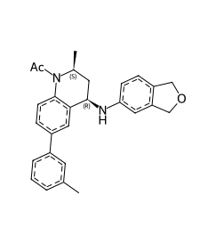 CC(=O)N1c2ccc(-c3cccc(C)c3)cc2[C@H](Nc2ccc3c(c2)COC3)C[C@@H]1C